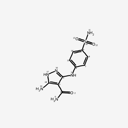 NC(=O)c1c(Nc2ccc(S(N)(=O)=O)cc2)n[nH]c1N